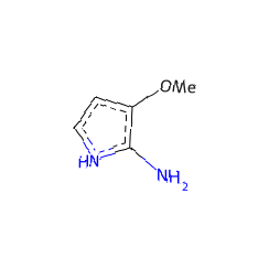 COc1cc[nH]c1N